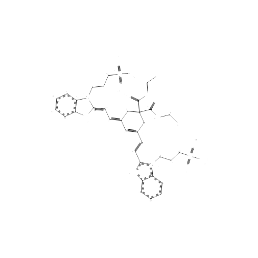 CCOC(=O)C1(C(=O)OCC)CC(/C=C/c2oc3ccccc3[n+]2CCCS(=O)(=O)O)=CC(=C/C=C2\Oc3ccccc3N2CCCS(=O)(=O)O)/C1